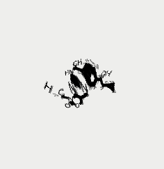 CCN1C(=O)OCc2cnc(N[C@@H](C)c3ccc(C(O)CC4CC4)cc3)nc21